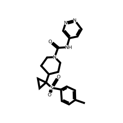 Cc1ccc(S(=O)(=O)C2(C3CCN(C(=O)Nc4ccnnc4)CC3)CC2)cc1